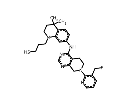 CC1(C)CCN(CCCS)c2cc(Nc3ncnc4c3CCN(c3ncccc3CF)C4)ccc21